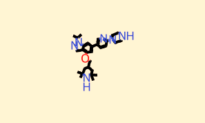 CC(C)n1ncc2c(OCC3CC(C)(C)NC(C)(C)C3)cc(-c3ccc(N4CCNCC4)nc3)cc21